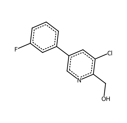 OCc1ncc(-c2cccc(F)c2)cc1Cl